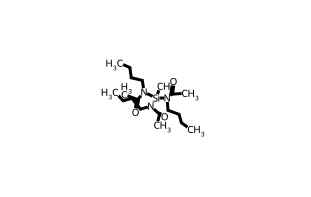 CCCCN(C(C)=O)[Si](C)(N(CCCC)C(C)=O)N(CCCC)C(C)=O